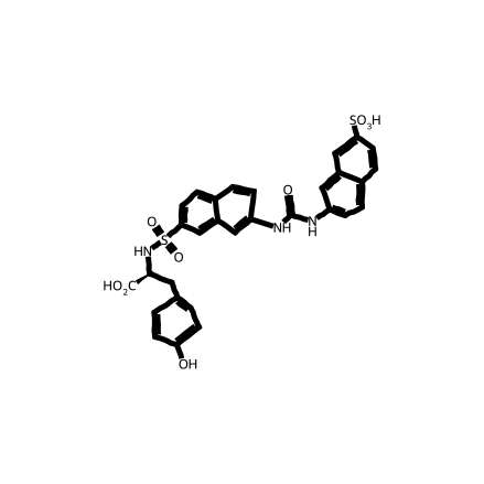 O=C(Nc1ccc2ccc(S(=O)(=O)O)cc2c1)Nc1ccc2ccc(S(=O)(=O)N[C@@H](Cc3ccc(O)cc3)C(=O)O)cc2c1